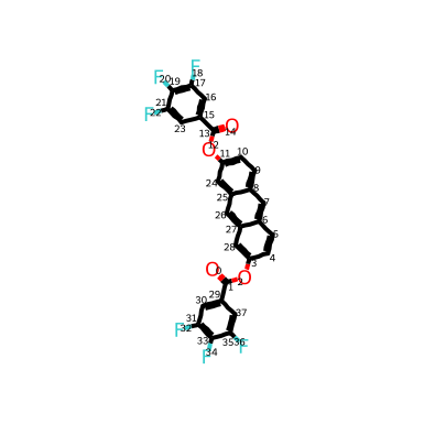 O=C(Oc1ccc2cc3ccc(OC(=O)c4cc(F)c(F)c(F)c4)cc3cc2c1)c1cc(F)c(F)c(F)c1